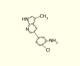 Cc1c[nH]c2ncc(-c3ccc(Cl)c(N)c3)cc12